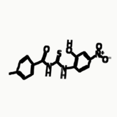 Cc1ccc(C(=O)NC(=S)Nc2ccc([N+](=O)[O-])cc2O)cc1